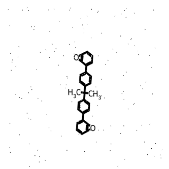 CC(C)(c1ccc(-c2cccc3c2O3)cc1)c1ccc(-c2cccc3c2O3)cc1